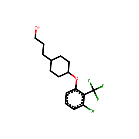 OCCCC1CCC(Oc2cccc(Br)c2C(F)(F)F)CC1